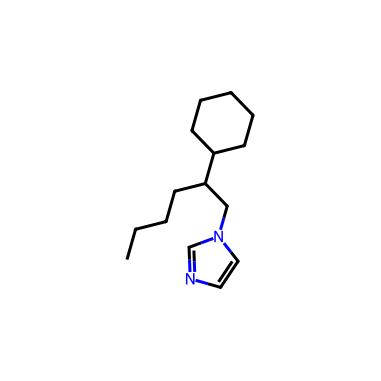 CCCCC(Cn1ccnc1)C1CCCCC1